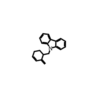 C=C1C=CCCC1Cn1c2ccccc2c2ccccc21